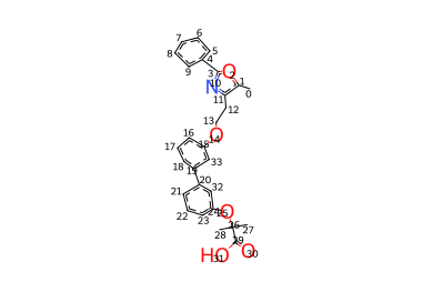 Cc1oc(-c2ccccc2)nc1CCOc1cccc(-c2cccc(OC(C)(C)C(=O)O)c2)c1